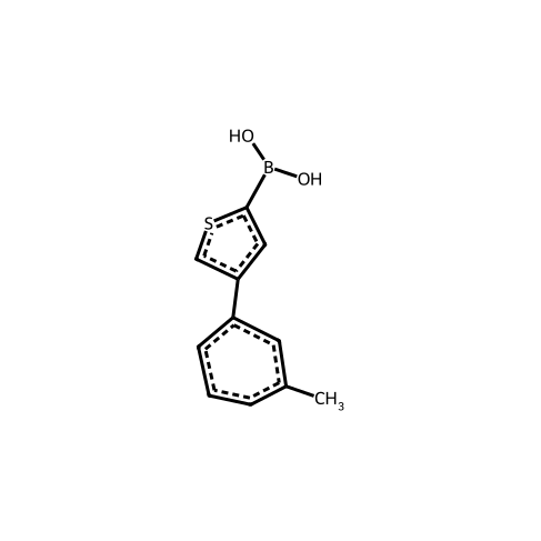 Cc1cccc(-c2csc(B(O)O)c2)c1